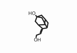 OCC=C1C2CC3CC1CC(O)(C3)C2